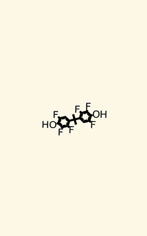 CC(C)(c1cc(F)c(O)c(F)c1F)c1cc(F)c(O)c(F)c1F